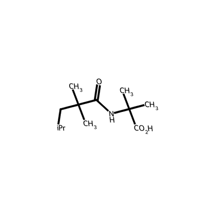 CC(C)CC(C)(C)C(=O)NC(C)(C)C(=O)O